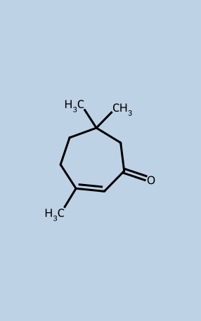 CC1=CC(=O)CC(C)(C)CC1